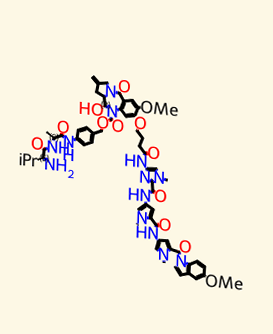 C=C1CC2[C@@H](O)N(C(=O)OCc3ccc(NC(=O)[C@H](C)NC(=O)[C@@H](N)C(C)C)cc3)c3cc(OCCCC(=O)Nc4cn(C)c(C(=O)Nc5cc(C(=O)Nc6cc(C(=O)n7ccc8cc(OC)ccc87)n(C)c6)n(C)c5)n4)c(OC)cc3C(=O)N2C1